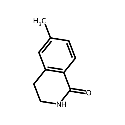 Cc1ccc2c(c1)CCNC2=O